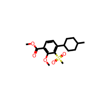 COC(=O)c1ccc(C2CCC(C)CC2)c(S(C)(=O)=O)c1OC